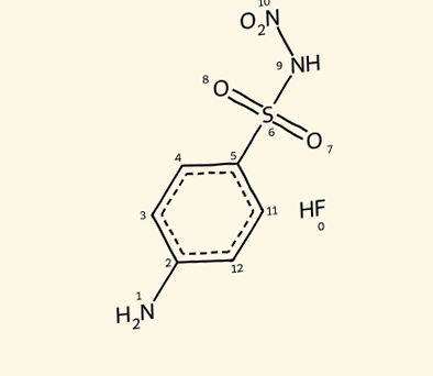 F.Nc1ccc(S(=O)(=O)N[N+](=O)[O-])cc1